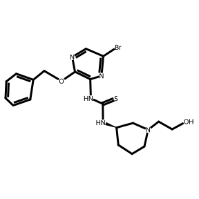 OCCN1CCC[C@@H](NC(=S)Nc2nc(Br)cnc2OCc2ccccc2)C1